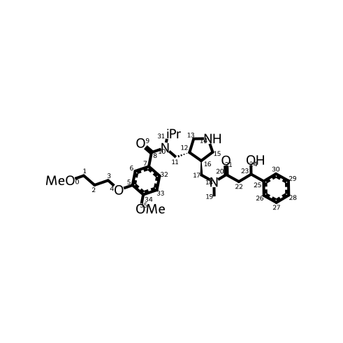 COCCCOc1cc(C(=O)N(C[C@@H]2CNC[C@H]2CN(C)C(=O)CC(O)c2ccccc2)C(C)C)ccc1OC